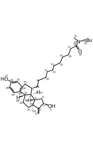 C=C1[C@H](O)C[C@H]2[C@@H]3[C@H](CCCCCCCCCCC(=O)N(C)CCCC)Cc4cc(O)ccc4[C@H]3CC[C@]12C